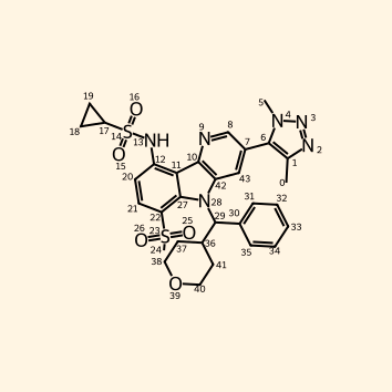 Cc1nnn(C)c1-c1cnc2c3c(NS(=O)(=O)C4CC4)ccc(S(C)(=O)=O)c3n(C(c3ccccc3)C3CCOCC3)c2c1